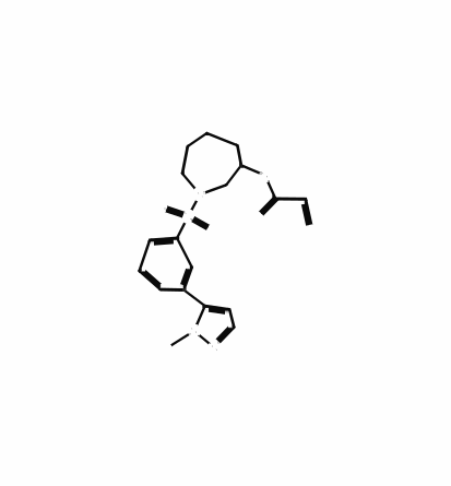 C=CC(=O)NC1CCCCN(S(=O)(=O)c2cccc(-c3ccnn3C)c2)C1